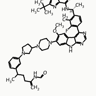 C=C(CCC(C)c1cccc(N2CCC(N3CCN(c4cc5[nH]c6ncnc(-c7ccc([C@@H](C)NC(=O)c8nc(C(C)(C)C)no8)c(C)c7F)c6c5cc4OC)CC3)C2)c1)NC=O